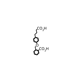 O=C(O)CCCc1ccc(OCc2ccccc2C(=O)O)cc1